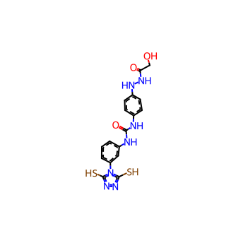 O=C(CO)NNc1ccc(NC(=O)Nc2cccc(-n3c(S)nnc3S)c2)cc1